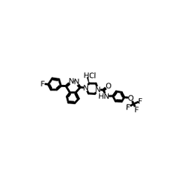 C[C@H]1CN(C(=O)Nc2ccc(OC(F)(F)F)cc2)CCN1c1nnc(-c2ccc(F)cc2)c2ccccc12.Cl